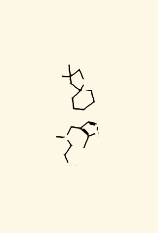 CNCCN(C)Cc1c(C)[nH]nc1[C@H]1CC[C@@]2(CC1)CC(C)(C)CO2